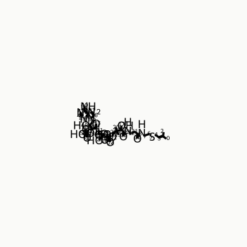 CC(C)=CCSCCNC(=O)CCNC(=O)C(O)C(C)(C)COP(=O)(O)OP(=O)(O)OC[C@H]1O[C@@H](n2cnc3c(N)ncnc32)[C@H](O)[C@@H]1OP(=O)(O)O